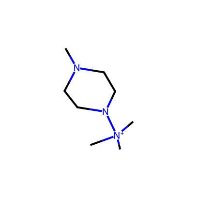 CN1CCN([N+](C)(C)C)CC1